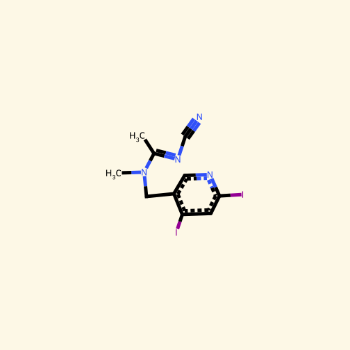 CC(=NC#N)N(C)Cc1cnc(I)cc1I